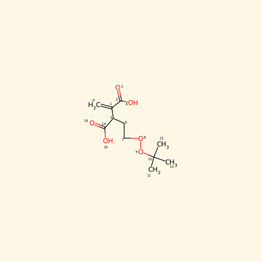 C=C(C(=O)O)C(CCOOC(C)(C)C)C(=O)O